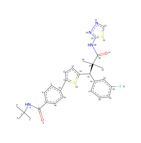 CC(C)(C)NC(=O)c1ccc(-c2ccc([C@H](c3cccc(F)c3)C(C)(C)C(=O)Nc3nncs3)s2)cc1